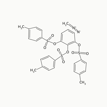 C=[N+]=[N-].Cc1ccc(S(=O)(=O)Oc2cccc(OS(=O)(=O)c3ccc(C)cc3)c2OS(=O)(=O)c2ccc(C)cc2)cc1